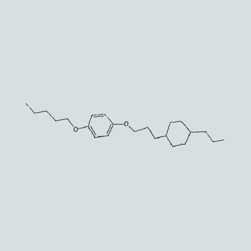 CCCCCOc1ccc(OCCCC2CCC(CCC)CC2)cc1